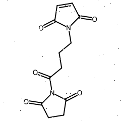 O=C1C=CC(=O)N1CCCC(=O)N1C(=O)CCC1=O